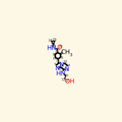 Cc1cc(-c2cnc3c(NCCO)nccn23)ccc1C(=O)NC1CC1